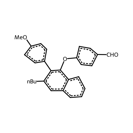 CCCCc1cc2ccccc2c(Oc2ccc(C=O)cc2)c1-c1ccc(OC)cc1